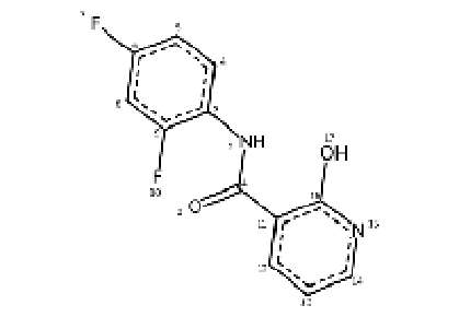 O=C(Nc1ccc(F)cc1F)c1cccnc1O